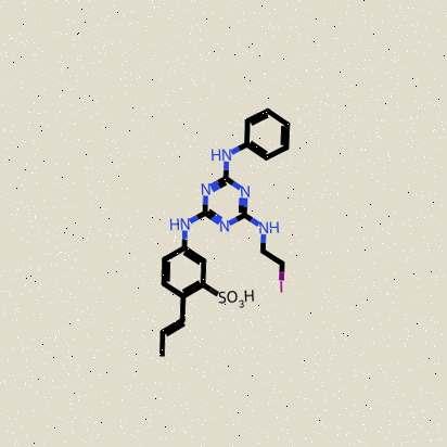 C/C=C/c1ccc(Nc2nc(NCCI)nc(Nc3ccccc3)n2)cc1S(=O)(=O)O